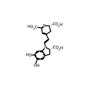 O=C(O)C1=N[C@H](C(=O)O)CC(/C=C/N2c3cc(O)c(O)cc3C[C@H]2C(=O)O)=C1